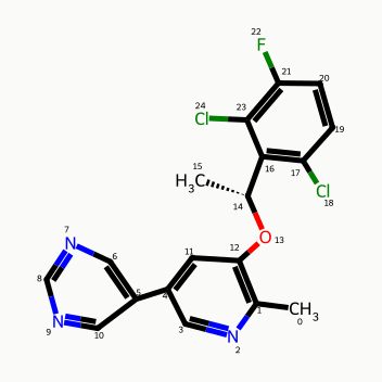 Cc1ncc(-c2cncnc2)cc1O[C@H](C)c1c(Cl)ccc(F)c1Cl